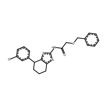 O=C(COCc1ccccc1)Nc1nc2c(s1)C(c1cccc(Cl)c1)CCC2